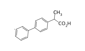 CC(C(=O)O)c1ccc(-c2c[c]ccc2)cc1